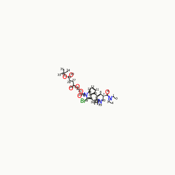 CCN(CC)C(=O)[C@@H]1C=C2c3cccc4c3c(c(Br)n4C(=O)OCOC(=O)CCC(=O)OC(C)(C)C)C[C@H]2N(C)C1